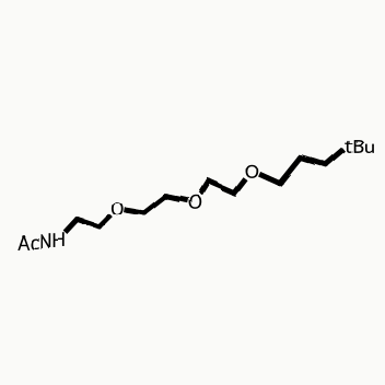 CC(=O)NCCOCCOCCOCCCC(C)(C)C